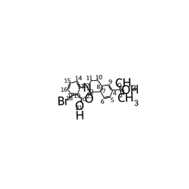 CC(C)(O)c1ccc2c(c1)CCN(c1cccc(Br)c1CO)C2=O